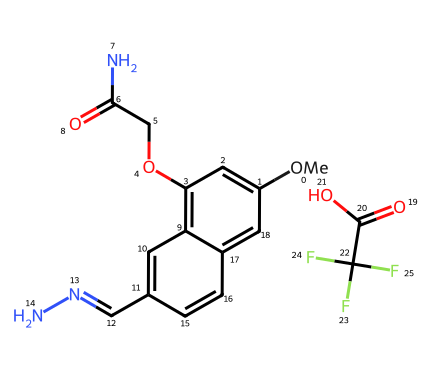 COc1cc(OCC(N)=O)c2cc(C=NN)ccc2c1.O=C(O)C(F)(F)F